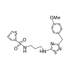 COc1ccc(Cc2nsc(NCCCNS(=O)(=O)c3cccs3)n2)cc1